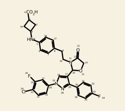 O=C(O)C1CC(Nc2ccc(CCN3C(=O)COC3c3cn(-c4ccc(Cl)c(F)c4)nc3-c3ccc(F)cc3)cc2)C1